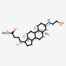 COC(=O)CC[C@@H](C)C1CCC2C3CC[C@@H]4C[C@H](NCCO)CC[C@]4(C)C3CC[C@@]21C